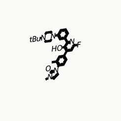 Cc1cc(-c2cc(F)nc(-c3cccc(N4CCN(C(C)(C)C)CC4)c3)c2O)ccc1-n1ccn(C)c1=O